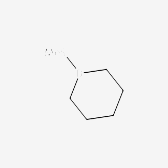 CSB1CCCCC1